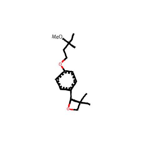 COC(C)(C)CCOc1ccc(C2OCC2(C)C)cc1